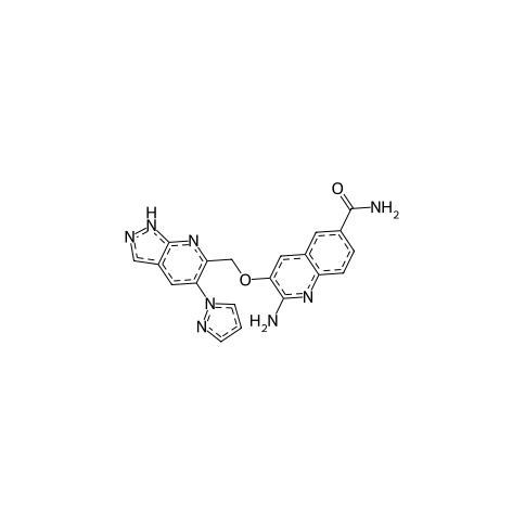 NC(=O)c1ccc2nc(N)c(OCc3nc4[nH]ncc4cc3-n3cccn3)cc2c1